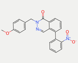 COc1ccc(Cn2ncc3c(-c4ccccc4[N+](=O)[O-])cccc3c2=O)cc1